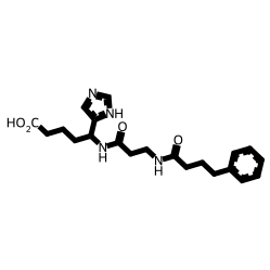 O=C(O)CCCC(NC(=O)CCNC(=O)CCCc1ccccc1)c1cnc[nH]1